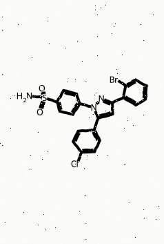 NS(=O)(=O)c1ccc(-n2nc(-c3ccccc3Br)cc2-c2ccc(Cl)cc2)cc1